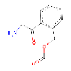 NCC(=O)c1ccccc1CO[C]=O